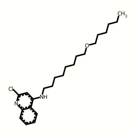 CCCCCCOCCCCCCCCNc1cc(Cl)nc2ccccc12